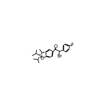 CC(C)[Si](Oc1ccc(C(=O)C(Br)c2ccc(F)cc2)cc1)(C(C)C)C(C)C